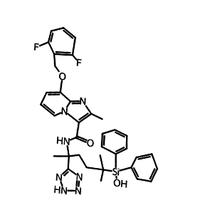 Cc1nc2c(OCc3c(F)cccc3F)cccn2c1C(=O)NC(C)(CCC(C)(C)[Si](O)(c1ccccc1)c1ccccc1)c1nn[nH]n1